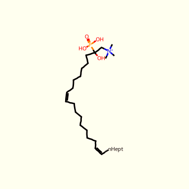 CCCCCCC/C=C\CCCCCCC/C=C\CCCCCCC(O)(C[N+](C)(C)C)P(=O)(O)O